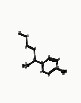 CCCCC(N)c1ccc(O)cc1